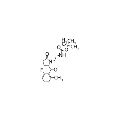 Cc1cccc(F)c1C(=O)C1CCC(=O)N1CCNC(=O)OC(C)(C)C